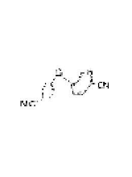 N#Cc1ccc(Oc2ccc(C#N)nc2)cc1